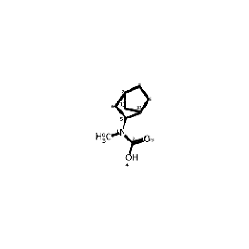 CN(C(=O)O)C1CC2CCC1C2